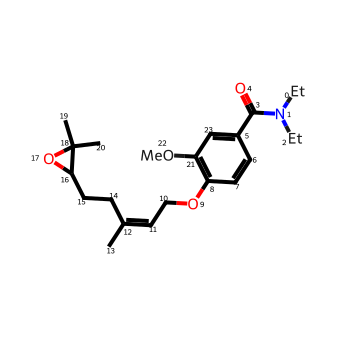 CCN(CC)C(=O)c1ccc(OCC=C(C)CCC2OC2(C)C)c(OC)c1